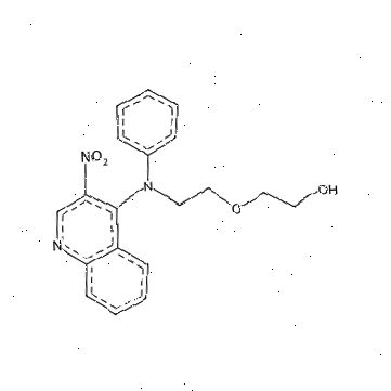 O=[N+]([O-])c1cnc2ccccc2c1N(CCOCCO)c1ccccc1